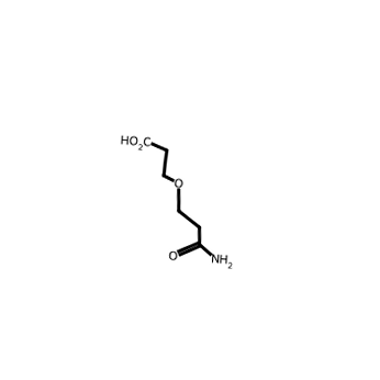 NC(=O)CCOCCC(=O)O